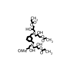 C=CC(=O)OCC(O)CN(Cc1cccc(CN(CC(O)COC(=O)C=C)CC(O)COC(=O)C=C)c1)CC(O)COC